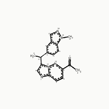 CC(=O)c1ccc2ncc(C(C)c3ccc4c(cnn4C)c3)n2n1